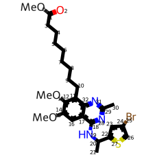 COC(=O)CCCCCCCCc1c(OC)c(OC)cc2c(NC(C)c3cc(Br)cs3)nc(C)nc12